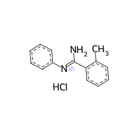 Cc1ccccc1/C(N)=N/c1ccccc1.Cl